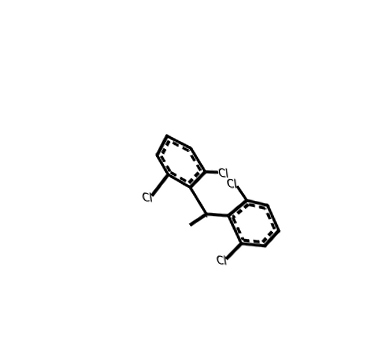 C[C](c1c(Cl)cccc1Cl)c1c(Cl)cccc1Cl